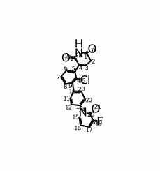 O=C1CCC(c2cccc(-c3ccc(-n4cccc(F)c4=O)cc3)c2Cl)C(=O)N1